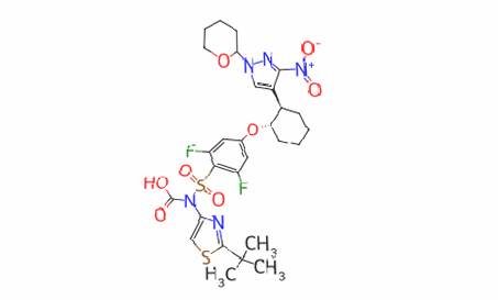 CC(C)(C)c1nc(N(C(=O)O)S(=O)(=O)c2c(F)cc(O[C@H]3CCCC[C@@H]3c3cn(C4CCCCO4)nc3[N+](=O)[O-])cc2F)cs1